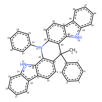 CC1(c2ccccc2)c2ccc3c([nH]c4ccccc43)c2N(c2ccccc2)c2ccc3c([nH]c4ccccc43)c21